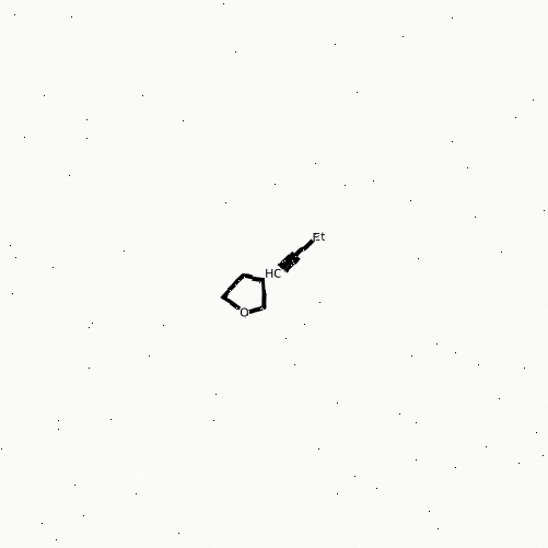 C#CCC.C1CCOC1